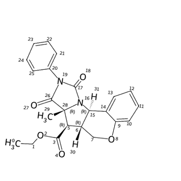 CCOC(=O)[C@@H]1[C@H]2COc3ccccc3[C@@H]2N2C(=O)N(c3ccccc3)C(=O)[C@@]12C